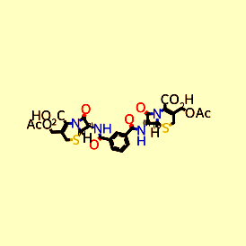 CC(=O)OCC1=C(C(=O)O)N2C(=O)[C@@H](NC(=O)c3cccc(C(=O)N[C@@H]4C(=O)N5C(C(=O)O)=C(COC(C)=O)CS[C@H]45)c3)[C@H]2SC1